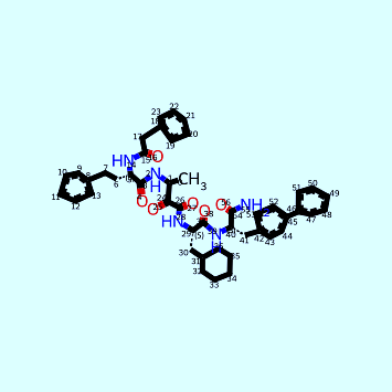 CC(NC(=O)[C@H](CCc1ccccc1)NC(=O)Cc1ccccc1)C(=O)C(=O)N[C@@H](CC1CCCCC1)C(=O)N[C@@H](Cc1ccc(-c2ccccc2)cc1)C(N)=O